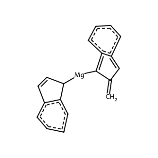 C=C1C=c2ccccc2=[C]1[Mg][CH]1C=Cc2ccccc21